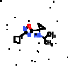 CC(C)NC1(c2nc(C3CCC3)no2)CC1